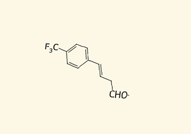 O=[C]CC=Cc1ccc(C(F)(F)F)cc1